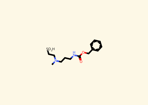 CN(CCCNC(=O)OCc1ccccc1)CCS(=O)(=O)O